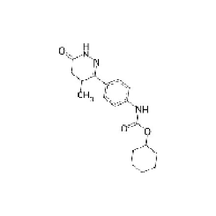 CC1CC(=O)NN=C1c1ccc(NC(=O)OC2CCCCC2)cc1